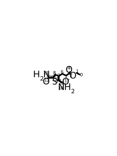 CCOC(=O)CCc1cc(C(N)=O)sc1C(N)=O